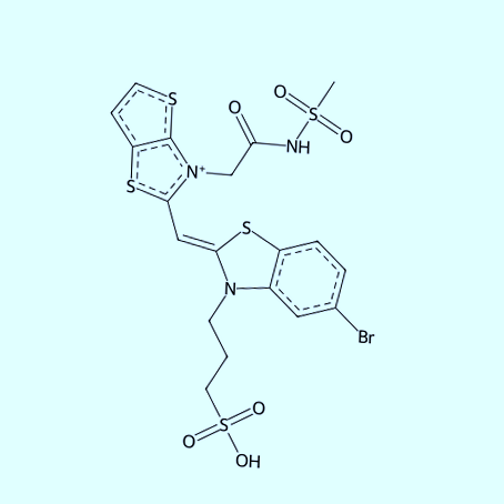 CS(=O)(=O)NC(=O)C[n+]1c(C=C2Sc3ccc(Br)cc3N2CCCS(=O)(=O)O)sc2ccsc21